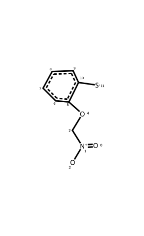 O=[N+]([O-])COc1ccccc1[S]